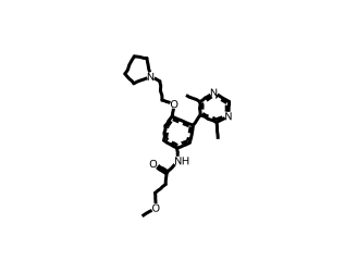 COCCC(=O)Nc1ccc(OCCN2CCCC2)c(-c2c(C)ncnc2C)c1